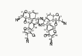 N#CC1=COC2C=CC(c3nc(-c4ccc5occ(C#N)c(=O)c5c4)c(-c4ccc5occ(C#N)c(=O)c5c4)nc3-c3ccc4occ(C#N)c(=O)c4c3)=CC2C1=O